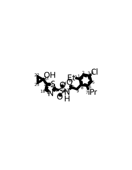 CCc1cc(Cl)cc(C(C)C)c1CC(=O)NS(=O)(=O)c1ncc(C2(O)CC2)s1